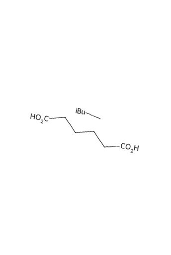 CCC(C)C.O=C(O)CCCCC(=O)O